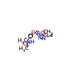 CCC(=O)N[C@@H](C)c1ccc(OC2CCN(c3ncnc(OCC4CC4)c3OC)C2)cc1